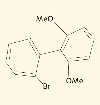 COc1cccc(OC)c1-c1ccccc1Br